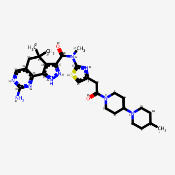 CC1CCN(C2CCN(C(=O)Cc3csc(N(C)C(=O)c4n[nH]c5c4C(C)(C)Cc4cnc(N)nc4-5)n3)CC2)CC1